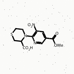 COC(=O)c1cnc(N2CCSCC2C(=O)O)c([N+](=O)[O-])c1